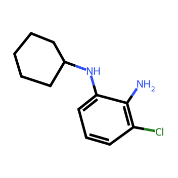 Nc1c(Cl)cccc1NC1CCCCC1